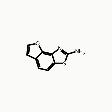 Nc1nc2c(ccc3ccoc32)s1